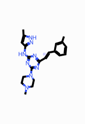 Cc1cccc(/C=C/c2nc(Nc3cc(C)[nH]n3)nc(N3CCN(C)CC3)n2)c1